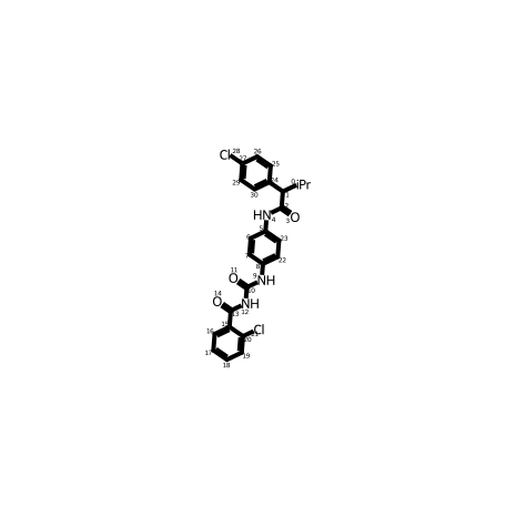 CC(C)C(C(=O)Nc1ccc(NC(=O)NC(=O)c2ccccc2Cl)cc1)c1ccc(Cl)cc1